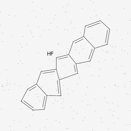 F.c1ccc2cc3cc4cc5ccccc5cc4cc3cc2c1